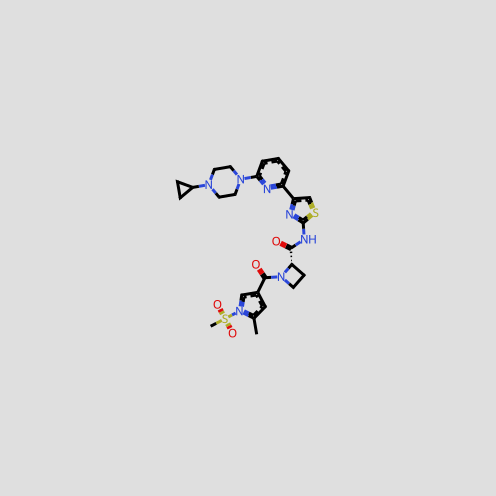 Cc1cc(C(=O)N2CC[C@H]2C(=O)Nc2nc(-c3cccc(N4CCN(C5CC5)CC4)n3)cs2)cn1S(C)(=O)=O